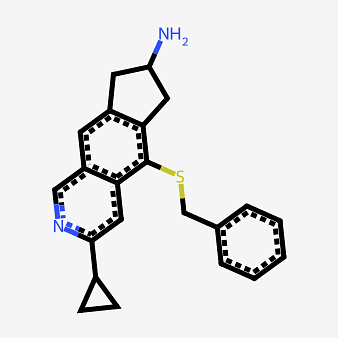 NC1Cc2cc3cnc(C4CC4)cc3c(SCc3ccccc3)c2C1